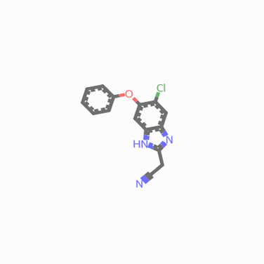 N#CCc1nc2cc(Cl)c(Oc3ccccc3)cc2[nH]1